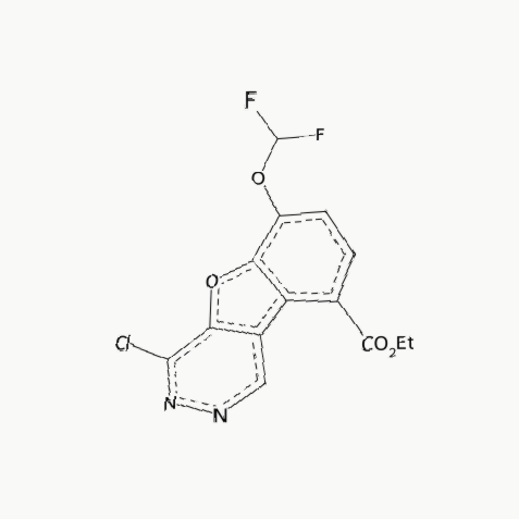 CCOC(=O)c1ccc(OC(F)F)c2oc3c(Cl)nncc3c12